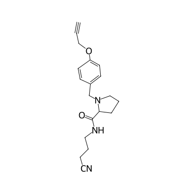 C#CCOc1ccc(CN2CCCC2C(=O)NCCCC#N)cc1